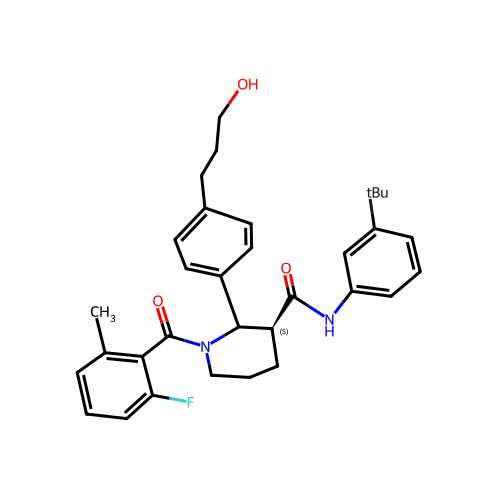 Cc1cccc(F)c1C(=O)N1CCC[C@H](C(=O)Nc2cccc(C(C)(C)C)c2)C1c1ccc(CCCO)cc1